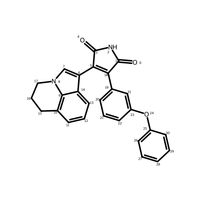 O=C1NC(=O)C(c2cn3c4c(cccc24)CCC3)=C1c1cccc(Oc2ccccc2)c1